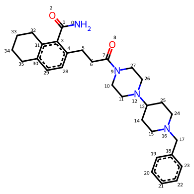 NC(=O)c1c(C[CH]C(=O)N2CCN(C3CCN(Cc4ccccc4)CC3)CC2)ccc2c1CCCC2